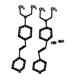 Br.Br.CCN(CC)c1ccc(C=Cc2ccncc2)cc1.CCN(CC)c1ccc(C=Cc2ccncc2)cc1